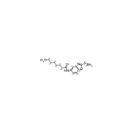 BSc1nc2cc(NC(=O)CCCCCCC)ccc2o1